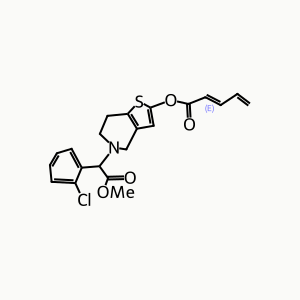 C=C/C=C/C(=O)Oc1cc2c(s1)CCN(C(C(=O)OC)c1ccccc1Cl)C2